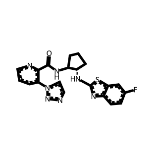 O=C(NC1CCC[C@@H]1Nc1nc2ccc(F)cc2s1)c1ncccc1-n1ccnn1